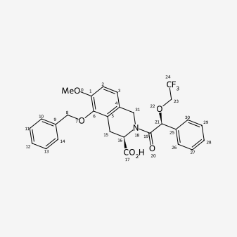 COc1ccc2c(c1OCc1ccccc1)C[C@H](C(=O)O)N(C(=O)[C@@H](OCC(F)(F)F)c1ccccc1)C2